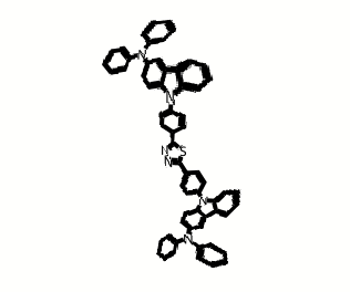 c1ccc(N(c2ccccc2)c2ccc3c(c2)c2ccccc2n3-c2ccc(-c3nnc(-c4ccc(-n5c6ccccc6c6cc(N(c7ccccc7)c7ccccc7)ccc65)cc4)s3)cc2)cc1